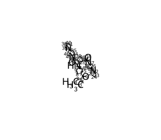 CCC(CC)C(=O)c1ccc(Nc2cc(C(=O)N3CCC(N4CCCC4)CC3)ccc2C(=O)N2CCC(N3CCCC3)CC2)cc1